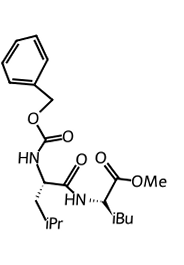 CC[C@H](C)[C@H](NC(=O)[C@H](CC(C)C)NC(=O)OCc1ccccc1)C(=O)OC